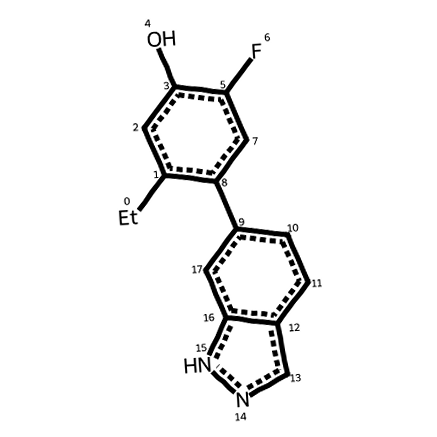 CCc1cc(O)c(F)cc1-c1ccc2cn[nH]c2c1